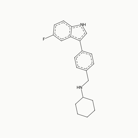 Fc1ccc2[nH]cc(-c3ccc(CNC4CCCCC4)cc3)c2c1